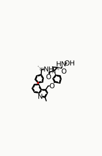 Cc1cc(COc2cccc([C@@]3(C(=O)N[C@@H](C)c4ccccc4)C[C@H]3C(=O)NO)c2)c2ccccc2n1